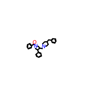 O=C(c1ccccc1)N1CC(CN2CCC(Cc3ccccc3)CC2)C(c2ccccc2)C1